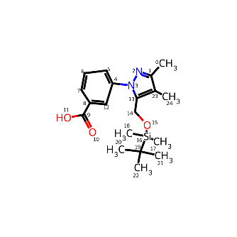 Cc1nn(-c2cccc(C(=O)O)c2)c(CO[Si](C)(C)C(C)(C)C)c1C